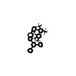 O=C1c2cccc(-n3c4c(c5cccc(-c6ccc(C(F)(F)F)cc6C(F)(F)F)c53)CCC=C4)c2C(=O)N1c1c(-c2ccccc2)cc(-c2ccccc2)cc1-c1ccccc1